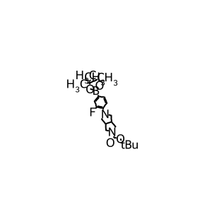 CC(C)(C)OC(=O)N1CC2CN(c3ccc(B4OC(C)(C)C(C)(C)O4)cc3F)CC2C1